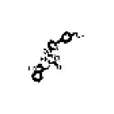 O=C(O)[C@H](Cc1c[nH]c2ccccc12)NS(=O)(=O)c1ccc(-c2ccc(CO)cc2)s1